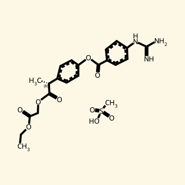 CCOC(=O)COC(=O)[C@H](C)c1ccc(OC(=O)c2ccc(NC(=N)N)cc2)cc1.CS(=O)(=O)O